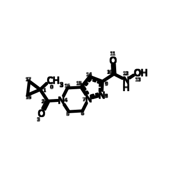 CC1(C(=O)N2CCn3nc(C(=O)NO)cc3C2)CC1